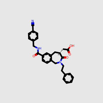 N#Cc1ccc(CNC(=O)c2ccc3c(c2)C[C@H](CC(=O)O)C(=O)N(CCc2ccccc2)C3)cc1